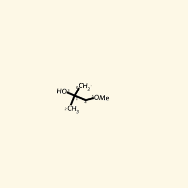 [CH2]C(C)(O)COC